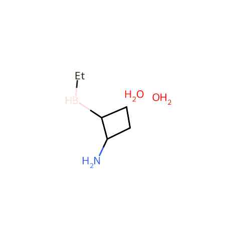 CCBC1CCC1N.O.O